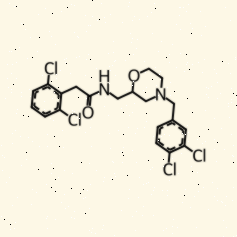 O=C(Cc1c(Cl)cccc1Cl)NCC1CN(Cc2ccc(Cl)c(Cl)c2)CCO1